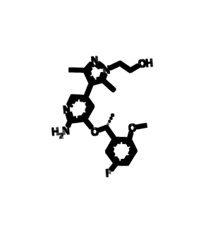 COc1ccc(F)cc1[C@@H](C)Oc1cc(-c2c(C)nn(CCO)c2C)cnc1N